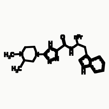 CCCC(Cc1c[nH]c2ccccc12)NC(=O)c1nnc(N2CCN(C)C(C)C2)[nH]1